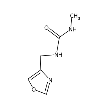 CNC(=O)NCc1cocn1